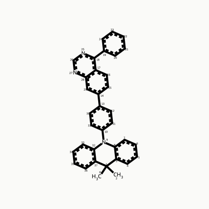 CC1(C)c2ccccc2N(c2ccc(-c3ccc4c(-c5ccccc5)ncnc4c3)cc2)c2ccccc21